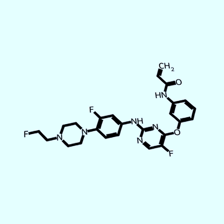 C=CC(=O)Nc1cccc(Oc2nc(Nc3ccc(N4CCN(CCF)CC4)c(F)c3)ncc2F)c1